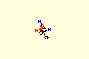 CC1=C(CC=Cc2ccccc2)C(C(=O)O)(c2ccccc2)C(C(=O)OCCC#N)=C(C)N1